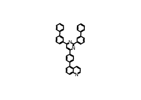 c1ccc(-c2cccc(-c3cc(-c4ccc(-c5cccc6ncccc56)cc4)nc(-c4cccc(-c5ccccc5)c4)n3)c2)cc1